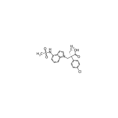 CC[C@](Cn1ccc2c(NS(C)(=O)=O)cccc21)(C(=O)O)c1ccc(Cl)cc1